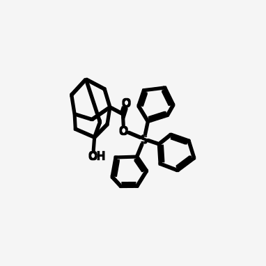 O=C(OS(c1ccccc1)(c1ccccc1)c1ccccc1)C12CC3CC(CC(O)(C3)C1)C2